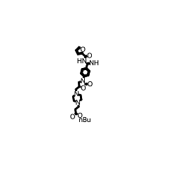 CCCCOC(=O)CCN1CCN(CC2CN(c3ccc(C(=N)NC(=O)c4ccco4)cc3)C(=O)O2)CC1